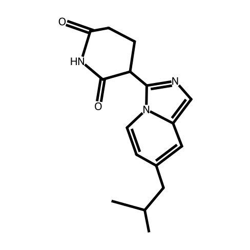 CC(C)Cc1ccn2c(C3CCC(=O)NC3=O)ncc2c1